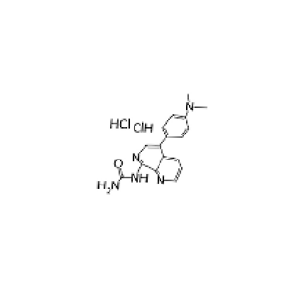 CN(C)c1ccc(-c2cnc(NC(N)=O)c3ncccc23)cc1.Cl.Cl